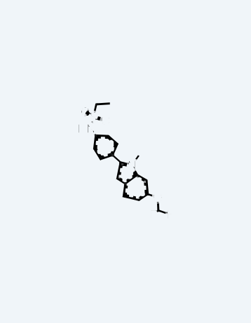 CCS(=O)(=O)Nc1ccc(-c2cc3ccc(OC(F)F)cc3n2C)cc1